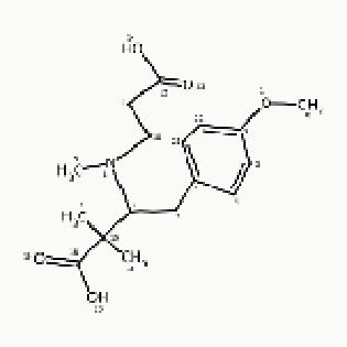 COc1ccc(CC(N(C)CCC(=O)O)C(C)(C)C(=O)O)cc1